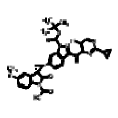 COc1ccc2c(c1)[C@]1(C[C@H]1c1ccc3c(Nc4nc(C5CC5)ncc4Cl)nn(C(=O)OC(C)(C)C)c3c1)C(=O)N2C(=O)O